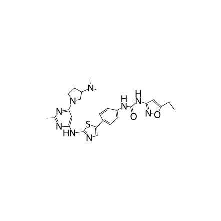 CCc1cc(NC(=O)Nc2ccc(-c3cnc(Nc4cc(N5CCC(N(C)C)C5)nc(C)n4)s3)cc2)no1